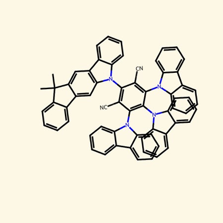 CC1(C)c2ccccc2-c2cc3c(cc21)c1ccccc1n3-c1c(C#N)c(-n2c3ccccc3c3ccccc32)c(-n2c3ccccc3c3ccccc32)c(-n2c3ccccc3c3ccccc32)c1C#N